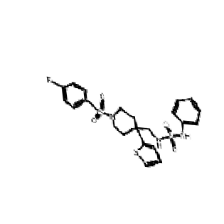 O=S(=O)(NCC1(c2cccs2)CCN(S(=O)(=O)c2ccc(F)cc2)CC1)Nc1ccccc1